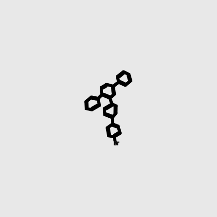 Brc1ccc(-c2ccc(-c3cc(-c4ccccc4)ccc3-c3ccccc3)cc2)cc1